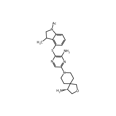 CC(=O)N1CC(C)c2c(Sc3ncc(N4CCC5(CC4)COC[C@H]5N)nc3N)cccc21